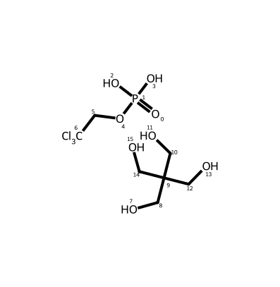 O=P(O)(O)OCC(Cl)(Cl)Cl.OCC(CO)(CO)CO